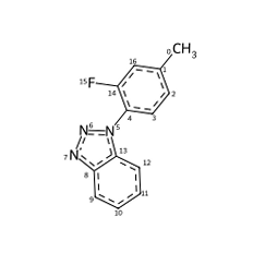 Cc1ccc(-n2nnc3ccccc32)c(F)c1